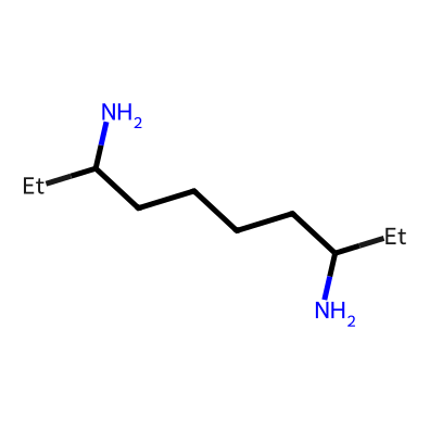 CCC(N)CCCCC(N)CC